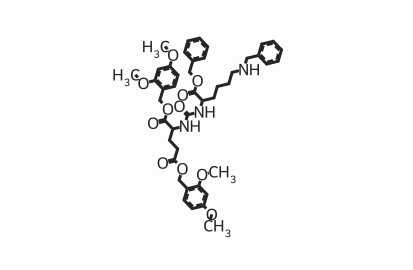 COc1ccc(COC(=O)CCC(NC(=O)NC(CCCCNCc2ccccc2)C(=O)OCc2ccccc2)C(=O)OCc2ccc(OC)cc2OC)c(OC)c1